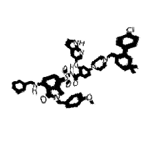 COc1ccc(CN2Cc3c(S(=O)(=O)NC(=O)c4ccc(N5CCN(CC6=C(c7ccc(Cl)cc7)CC(C)(C)CC6)CC5)cc4Oc4cnc5[nH]ccc5c4)ccc(NCC4CCCCC4)c3C2=O)cc1